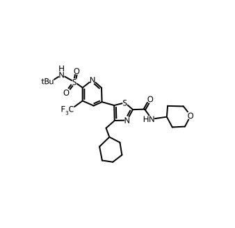 CC(C)(C)NS(=O)(=O)c1ncc(-c2sc(C(=O)NC3CCOCC3)nc2CC2CCCCC2)cc1C(F)(F)F